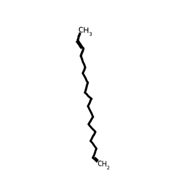 C=CCCCCCCCCCCCCC=CC